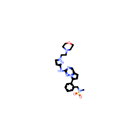 CN(Cc1ccccc1-c1ccc2cnc(Nc3ccn(CCN4CCOCC4)n3)nn12)[SH](=O)=O